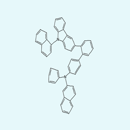 c1ccc(N(c2ccc(-c3ccccc3-c3ccc4c(c3)c3ccccc3n4-c3cccc4ccccc34)cc2)c2ccc3ccccc3c2)cc1